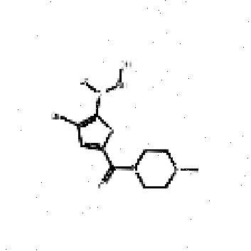 CN1CCN(C(=O)c2cc(Br)c([S+]([O-])NO)s2)CC1